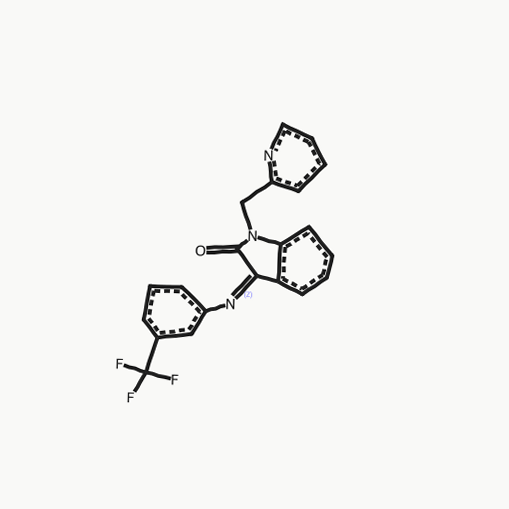 O=C1/C(=N\c2cccc(C(F)(F)F)c2)c2ccccc2N1Cc1ccccn1